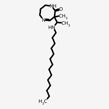 CCCCCCCCCCCCCCNC(C)C1(C)C=NCCCNC1=O